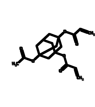 C=CC(=O)OC12CC3CC(OC(C)=O)(C1)CC(OC(=O)C=C)(C3)C2